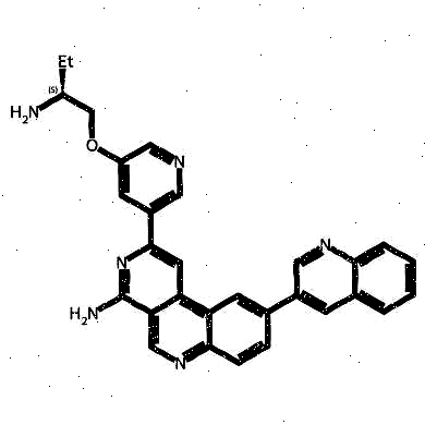 CC[C@H](N)COc1cncc(-c2cc3c(cnc4ccc(-c5cnc6ccccc6c5)cc43)c(N)n2)c1